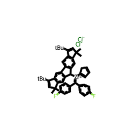 CC(C)(C)C1=CC(C)(C)c2cc3c(cc21)-c1cc2c(cc1[CH]3[Zr+2]([C]1=CC=CC1)=[C](c1ccc(F)cc1)c1ccc(F)cc1)C(C)(C)C=C2C(C)(C)C.[Cl-].[Cl-]